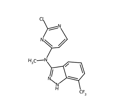 CN(c1ccnc(Cl)n1)c1n[nH]c2c(C(F)(F)F)cccc12